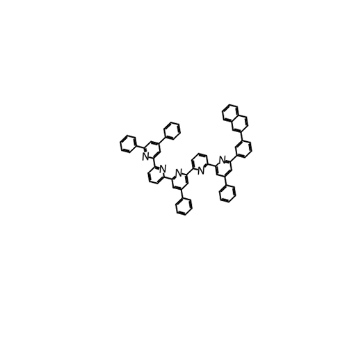 c1ccc(-c2cc(-c3ccccc3)nc(-c3cccc(-c4cc(-c5ccccc5)cc(-c5cccc(-c6cc(-c7ccccc7)cc(-c7cccc(-c8ccc9ccccc9c8)c7)n6)n5)n4)n3)c2)cc1